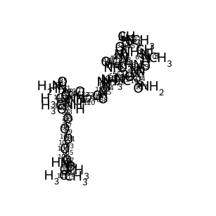 CCn1nc(C)cc1C(=O)Nc1nc2cc(C(N)=O)cc(OC)c2n1CCCCn1c(NC(=O)c2cc(C)nn2CC)nc2cc(C(N)=O)cc(OCCCN3CCC(c4nnc5n4CCN(C(=O)OCc4ccc(NC(=O)[C@H](CCCNC(N)=O)NC(=O)[C@@H](NC(=O)CCOCCOCCOCCOCCONC(=O)OC(C)(C)C)C(C)C)cc4)C5)CC3)c21